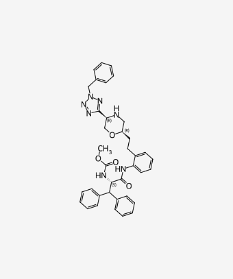 COC(=O)N[C@H](C(=O)Nc1ccccc1CC[C@@H]1CN[C@H](c2nnn(Cc3ccccc3)n2)CO1)C(c1ccccc1)c1ccccc1